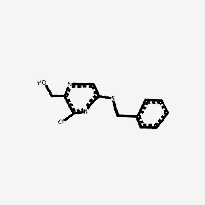 OCc1ncc(SCc2ccccc2)nc1Cl